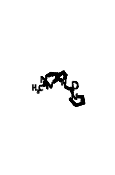 Cc1ncc2ccn(CC(=O)N3CCCC3)c2n1